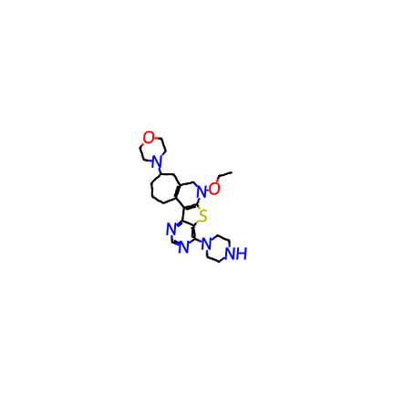 CCON1CC2=C(CCCC(N3CCOCC3)C2)c2c1sc1c(N3CCNCC3)ncnc21